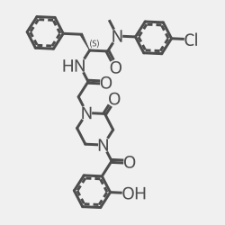 CN(C(=O)[C@H](Cc1ccccc1)NC(=O)CN1CCN(C(=O)c2ccccc2O)CC1=O)c1ccc(Cl)cc1